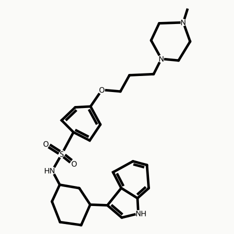 CN1CCN(CCCOc2ccc(S(=O)(=O)NC3CCCC(c4c[nH]c5ccccc45)C3)cc2)CC1